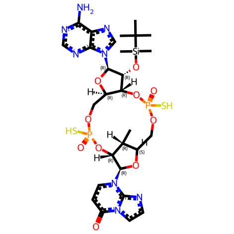 C[C@H]1[C@H]2OP(=O)(S)OC[C@H]3O[C@@H](n4cnc5c(N)ncnc54)[C@H](O[Si](C)(C)C(C)(C)C)[C@@H]3OP(=O)(S)OC[C@H]1O[C@H]2n1ccc(=O)n2ccnc12